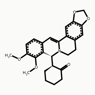 COc1ccc2c(c1OC)[C@@H]([C@@H]1CCCCC1=O)N1CCc3cc4c(cc3C1=C2)OCO4